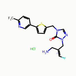 Cl.NC/C(=C/F)Cn1ncn(Cc2ccc(-c3ccc(C(F)(F)F)nc3)s2)c1=O